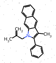 C=C(C)Cn1c(-c2ccccc2)c(C)c2cc3ccccc3cc21